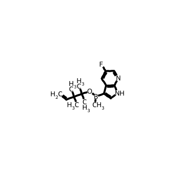 C=CC(C)(C)C(C)(C)OB(C)c1c[nH]c2ncc(F)cc12